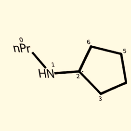 CCCN[C]1CCCC1